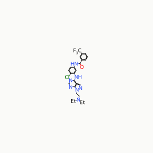 CCN(CC)CCn1ncc2c(Nc3cc(NC(=O)c4cccc(C(F)(F)F)c4)ccc3Cl)ncnc21